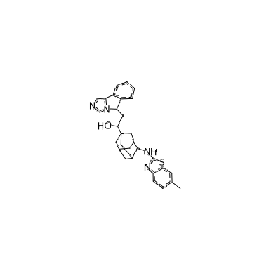 Cc1ccc2nc(NC3C4CC5CC3CC(C(O)CC3c6ccccc6-c6cncn63)(C5)C4)sc2c1